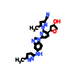 Cc1ccc(Nc2ccc3c(c2)ncn3-c2ccc([C@H]3C[C@H](O)CO3)c(-n3nc(C#N)cc3C)n2)nn1